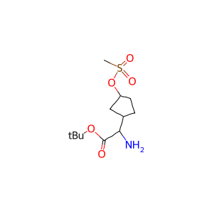 CC(C)(C)OC(=O)C(N)C1CCC(OS(C)(=O)=O)C1